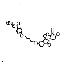 CC(C)(C)OC(=O)c1ccc(OCCCCCOC2=CCC3C(=O)N(C4CCC(=O)NC4=O)C(=O)C3=C2)cc1